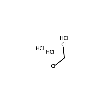 Cl.Cl.Cl.ClCCl